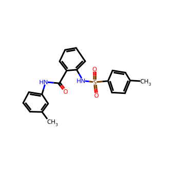 Cc1ccc(S(=O)(=O)Nc2ccccc2C(=O)Nc2cccc(C)c2)cc1